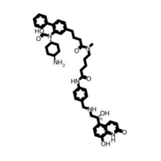 CN(CCCCC(=O)Nc1ccc(CNC[C@H](O)c2ccc(O)c3[nH]c(=O)ccc23)cc1)C(=O)CCCc1ccc(-c2ccccc2)c(N(C(=O)O)[C@H]2CC[C@H](N)CC2)c1